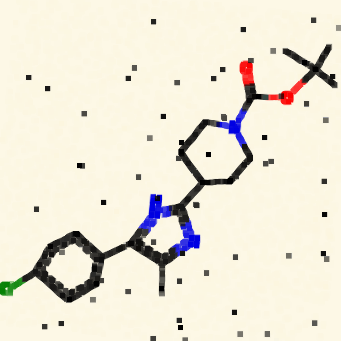 Cc1nc(C2CCN(C(=O)OC(C)(C)C)CC2)[nH]c1-c1ccc(Cl)cc1